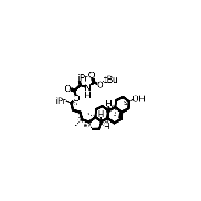 CC(C)C(NC(=O)OC(C)(C)C)C(=O)O[C@@H](CC[C@@H](C)[C@H]1CC[C@H]2[C@@H]3CC=C4C[C@@H](O)CC[C@]4(C)[C@H]3CC[C@]12C)C(C)C